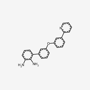 Nc1cccc(-c2cccc(Oc3cccc(-c4ccccn4)c3)c2)c1N